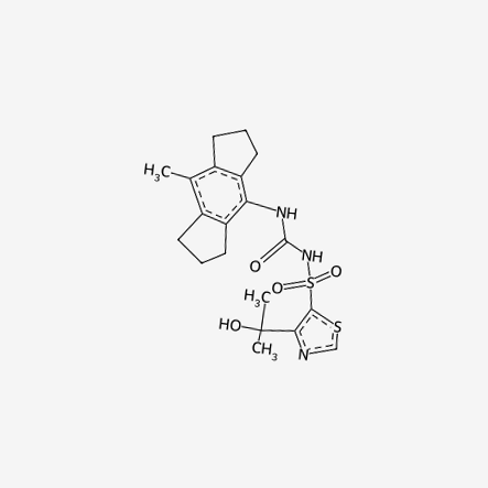 Cc1c2c(c(NC(=O)NS(=O)(=O)c3scnc3C(C)(C)O)c3c1CCC3)CCC2